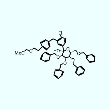 COCOCCc1ccc(Cc2cc([C@]3(O)O[C@H](COCc4ccccc4)[C@@H](OCc4ccccc4)[C@H](OCc4ccccc4)[C@H]3OCc3ccccc3)ccc2Cl)cc1